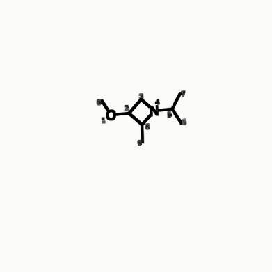 COC1CN(C(C)C)C1C